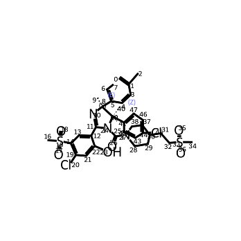 C=C(C)/C=C\C(=C/C)[C@]1(C)N=C(c2cc(S(C)(=O)=O)c(Cl)cc2O)N(C(=O)N2CCC(CCS(C)(=O)=O)CC2)[C@]1(C)c1ccc(Cl)cc1